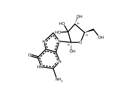 Nc1nc2c(ncn2[C@]2(O)O[C@H](CO)[C@@H](O)C2(O)O)c(=O)[nH]1